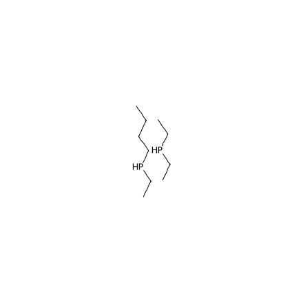 CCCCPCC.CCPCC